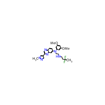 COc1cc(OC)cc(N(CCNCCC(C)(F)F)c2ccc3ncc(-c4cnn(C)c4)nc3c2)c1